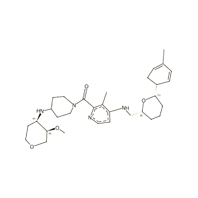 CO[C@H]1COCC[C@H]1NC1CCN(C(=O)c2nccc(NC[C@H]3CCC[C@@H](C4C=CC(C)=CC4)O3)c2C)CC1